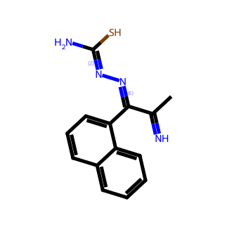 CC(=N)/C(=N/N=C(/N)S)c1cccc2ccccc12